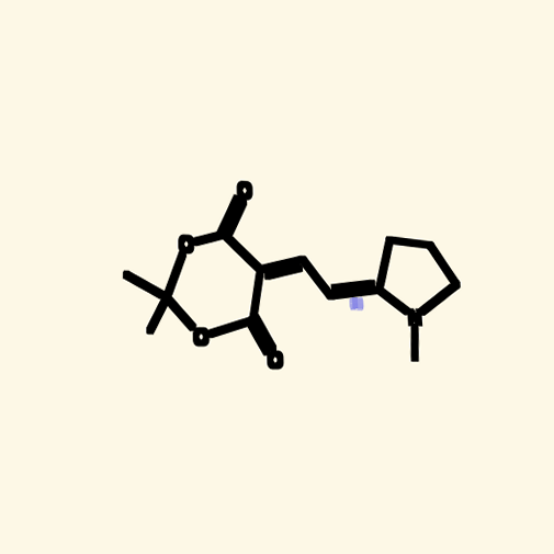 CN1CCC/C1=C\C=C1C(=O)OC(C)(C)OC1=O